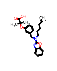 C=CCCCCN(Cc1cccc(OC(C)(C)C(=O)O)c1)c1nc2ccccc2o1